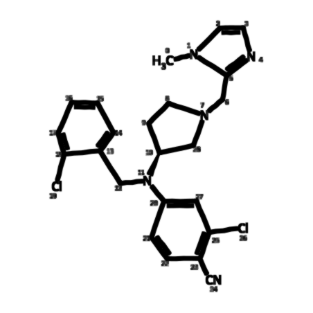 Cn1ccnc1CN1CC[C@H](N(Cc2ccccc2Cl)c2ccc(C#N)c(Cl)c2)C1